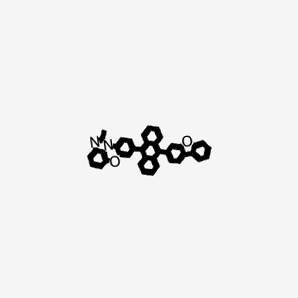 Cc1nc2cccc3c2n1-c1ccc(-c2c4ccccc4c(-c4ccc5c(c4)oc4ccccc45)c4ccccc24)cc1O3